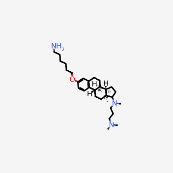 CN(C)CCCN(C)C1CC[C@H]2[C@@H]3CCc4cc(OCCCCCCN)ccc4[C@H]3CC[C@]12C